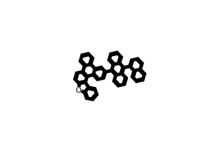 c1ccc2c(-c3c4ccccc4c(-c4ccc5c(c4)c4ccccc4c4ccc6oc7ccccc7c6c45)c4ccccc34)cccc2c1